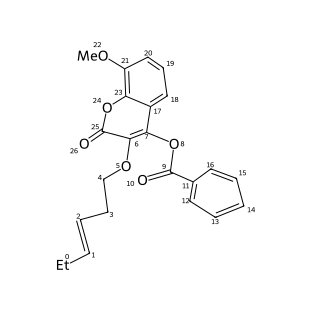 CC/C=C/CCOc1c(OC(=O)c2ccccc2)c2cccc(OC)c2oc1=O